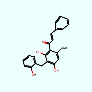 COc1cc(O)c(Cc2ccccc2O)c(O)c1C(=O)C=Cc1ccccc1